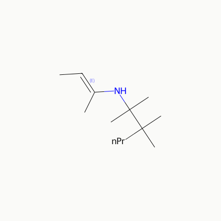 C/C=C(\C)NC(C)(C)C(C)(C)CCC